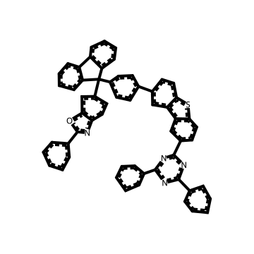 c1ccc(-c2nc(-c3ccccc3)nc(-c3ccc4sc5ccc(-c6ccc(C7(c8ccc9nc(-c%10ccccc%10)oc9c8)c8ccccc8-c8ccccc87)cc6)cc5c4c3)n2)cc1